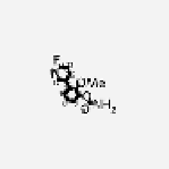 COc1c(OC(N)=O)cccc1-c1ccc(F)nc1